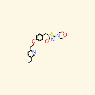 CCc1ccc(CCOc2ccc(CC3SC(N4CCOCC4)=NC3=O)cc2)nc1